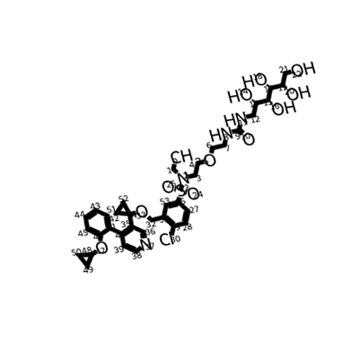 CCN(CCOCCNC(=O)NC[C@H](O)[C@@H](O)[C@H](O)[C@H](O)CO)S(=O)(=O)c1ccc(Cl)c(COC2(c3cnccc3-c3ccccc3OC3CC3)CC2)c1